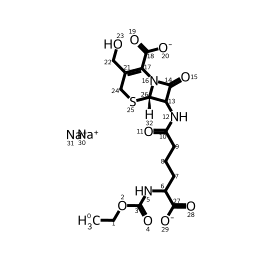 CCOC(=O)NC(CCCC(=O)NC1C(=O)N2C(C(=O)[O-])=C(CO)CS[C@@H]12)C(=O)[O-].[Na+].[Na+]